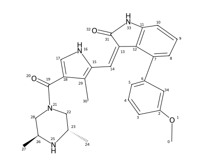 COc1cccc(-c2cccc3c2C(=Cc2[nH]cc(C(=O)N4C[C@H](C)N[C@@H](C)C4)c2C)C(=O)N3)c1